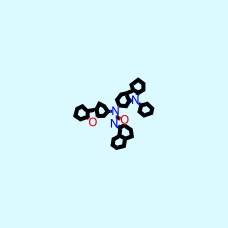 c1ccc(-n2c3ccccc3c3ccc(N(c4ccc5c(c4)oc4ccccc45)c4nc5c(ccc6ccccc65)o4)cc32)cc1